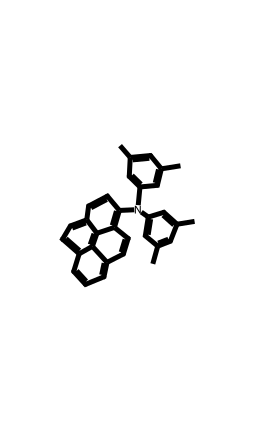 Cc1cc(C)cc(N(c2cc(C)cc(C)c2)c2ccc3ccc4cccc5ccc2c3c45)c1